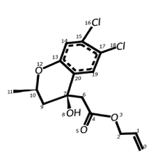 C=CCOC(=O)C[C@]1(O)C[C@@H](C)Oc2cc(Cl)c(Cl)cc21